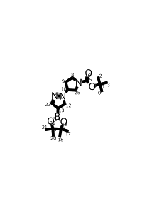 CC(C)(C)OC(=O)N1CCC(N2CC(B3OC(C)(C)C(C)(C)O3)C=N2)C1